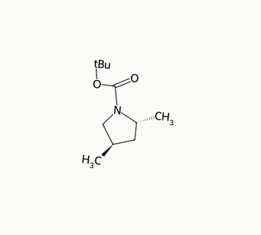 C[C@@H]1C[C@@H](C)N(C(=O)OC(C)(C)C)C1